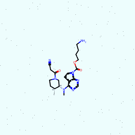 C[C@@H]1CCN(C(=O)CC#N)C[C@@H]1N(C)c1ncnc2c1ccn2C(=O)OCCCCN